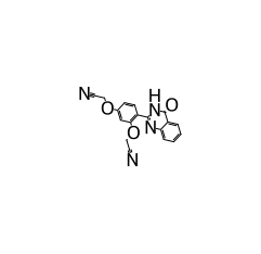 N#CCOc1ccc(-c2nc3ccccc3c(=O)[nH]2)c(OCC#N)c1